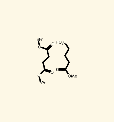 CCCOC(=O)CCC(=O)OCCC.COC(=O)CCCC(=O)O